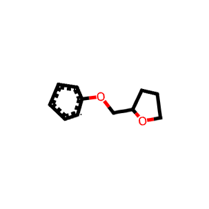 [c]1ccccc1OCC1CCCO1